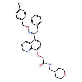 O=C(COc1ccc(C(Cc2ccccc2)=NOCc2ccc(C(F)(F)F)cc2)c2cccnc12)NCC1CCOCC1